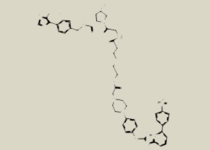 Cc1ncsc1-c1ccc(CNC(=O)[C@@H]2C[C@@H](O)CN2C(=O)[C@@H](NC(=O)CCOCCNC(=O)CN2CCN(c3ccc(Nc4nc5cccc(-c6ccc(S(C)(=O)=O)cc6)n5n4)cc3)CC2)C(C)(C)C)cc1